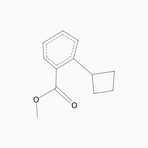 COC(=O)c1ccccc1C1CCC1